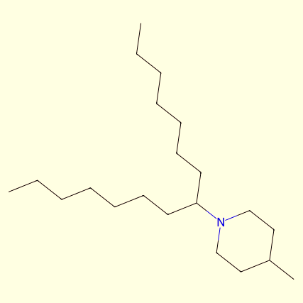 CCCCCCCC(CCCCCCC)N1CCC(C)CC1